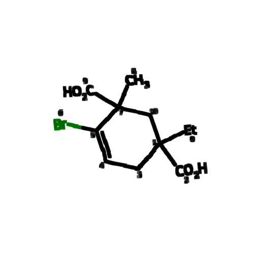 CCC1(C(=O)O)CC=C(Br)C(C)(C(=O)O)C1